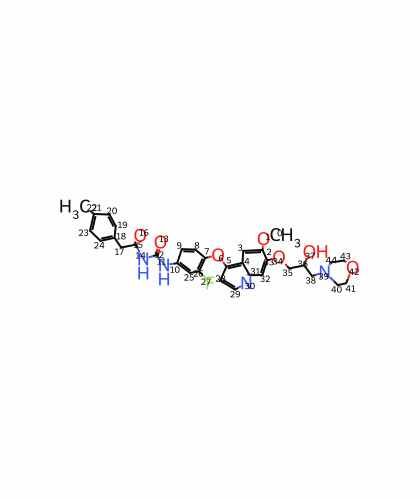 COc1cc2c(Oc3ccc(NC(=O)NC(=O)Cc4ccc(C)cc4)cc3F)ccnc2cc1OCC(O)CN1CCOCC1